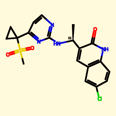 C[C@H](Nc1nccc(C2(S(C)(=O)=O)CC2)n1)c1cc2cc(Cl)ccc2[nH]c1=O